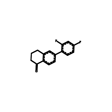 O=C1CCCc2cc(-c3ccc(F)cc3F)ccc21